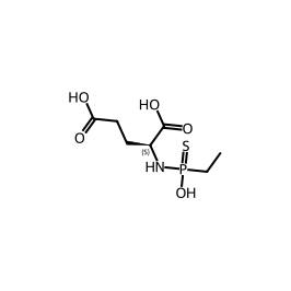 CCP(O)(=S)N[C@@H](CCC(=O)O)C(=O)O